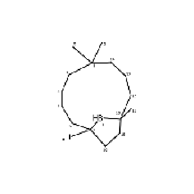 CC1(C)CCCCC2(I)BC(C)(CCC1)CC2